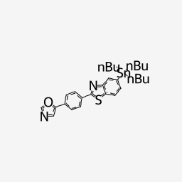 CCC[CH2][Sn]([CH2]CCC)([CH2]CCC)[c]1ccc2sc(-c3ccc(-c4cnco4)cc3)nc2c1